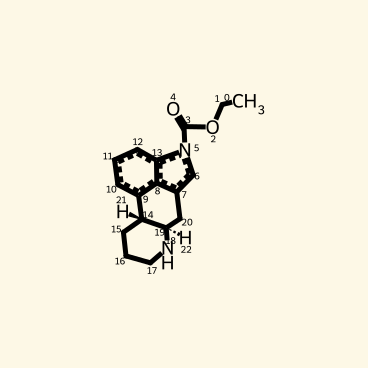 CCOC(=O)n1cc2c3c(cccc31)[C@H]1CCCN[C@@H]1C2